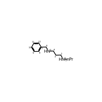 [CH2]CCNCCCNCc1ccccc1